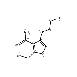 CC(C)Cc1onc(OCCO)c1C(N)=O